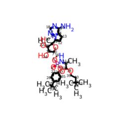 C[C@H](NP(=O)(OC[C@H]1O[C@@](C)(c2ccc3c(N)ncnn23)[C@H](O)[C@@H]1O)Oc1ccc(C(C)(C)C)cc1)C(=O)OCCC(C)(C)C